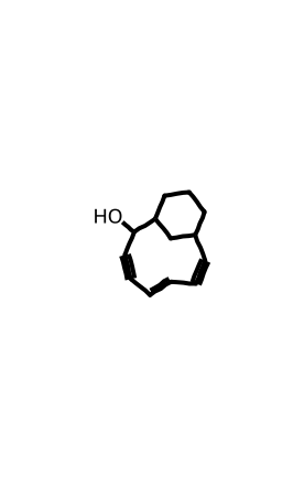 OC1C#C/C=C/C#CC2CCCC1C2